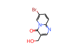 O=c1c(CO)cnc2ccc(Br)cn12